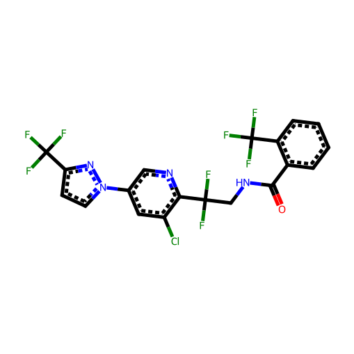 O=C(NCC(F)(F)c1ncc(-n2ccc(C(F)(F)F)n2)cc1Cl)c1ccccc1C(F)(F)F